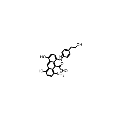 O=CC(=O)c1c2c(Nc3ccc(CCO)cc3)ccc(O)c2cc2c(O)ccc([N+](=O)[O-])c12